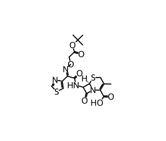 CC1=C(C(=O)O)N2C(=O)C(NC(=O)/C(=N\OCC(=O)OC(C)(C)C)c3cscn3)[C@H]2SC1